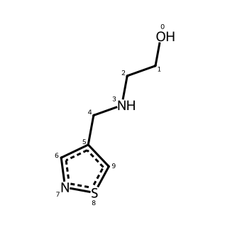 OCCNCc1cnsc1